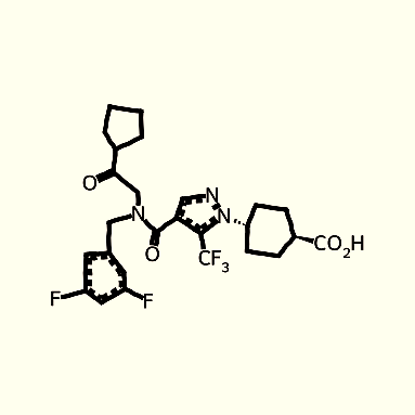 O=C(CN(Cc1cc(F)cc(F)c1)C(=O)c1cnn([C@H]2CC[C@H](C(=O)O)CC2)c1C(F)(F)F)C1CCCC1